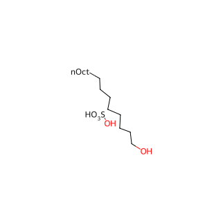 CCCCCCCCCCCCCCCCO.O=S(=O)(O)O